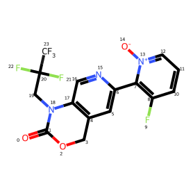 O=C1OCc2cc(-c3c(F)ccc[n+]3[O-])ncc2N1CC(F)(F)C(F)(F)F